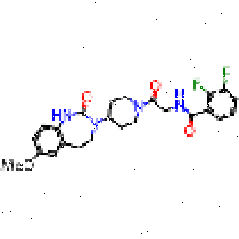 COc1ccc2c(c1)CCN(C1CCN(C(=O)CNC(=O)c3cccc(F)c3F)CC1)C(=O)N2